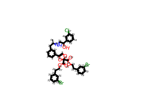 C[C@H](Cc1cccc(C2=COC(C(=O)OCCc3cccc(Br)c3)(C(=O)OCCc3cccc(Br)c3)O2)c1)NCC(O)c1cccc(Cl)c1